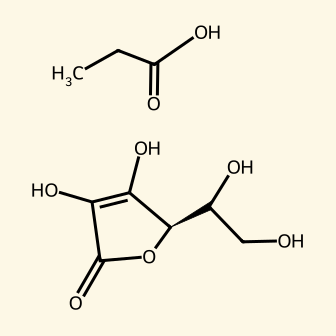 CCC(=O)O.O=C1O[C@H](C(O)CO)C(O)=C1O